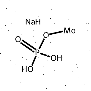 O=P(O)(O)[O][Mo].[NaH]